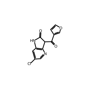 O=C1Nc2cc(Cl)cnc2C1C(=O)c1ccoc1